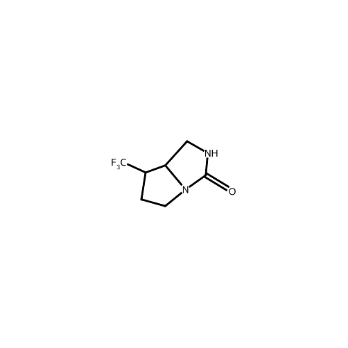 O=C1NCC2C(C(F)(F)F)CCN12